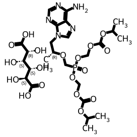 CC(C)OC(=O)OCOP(=O)(CO[C@H](C)Cn1cnc2c(N)ncnc21)OCOC(=O)OC(C)C.O=C(O)[C@@H](O)[C@@H](O)[C@H](O)[C@@H](O)C(=O)O